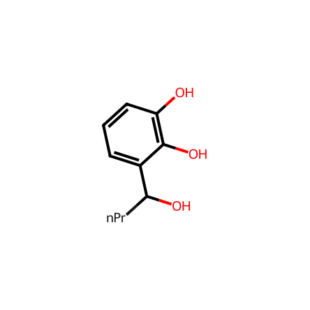 [CH2]CCC(O)c1cccc(O)c1O